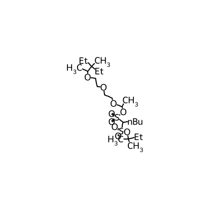 CCCCC(S(=O)(=O)OC(C)OCCOCCOC(C)C(C)(CC)CC)S(=O)(=O)OC(C)(C)CC